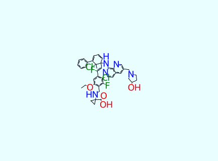 CCOc1cc(C(F)=CC2(Nc3nccc4cc(CN5CCC(O)C5)cnc34)C=CC=C(c3ccccc3)C2(C)Cl)c(Cl)c(F)c1CNC1(C(=O)O)CC1